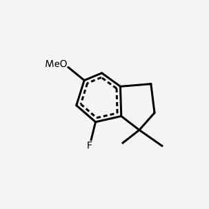 COc1cc(F)c2c(c1)CCC2(C)C